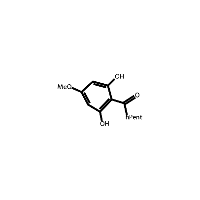 CCCCCC(=O)c1c(O)cc(OC)cc1O